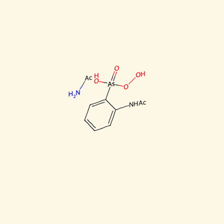 CC(=O)Nc1ccccc1[As](=O)(O)OO.CC(N)=O